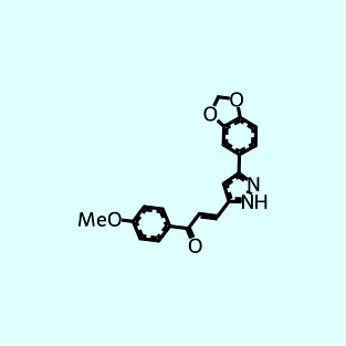 COc1ccc(C(=O)C=Cc2cc(-c3ccc4c(c3)OCO4)n[nH]2)cc1